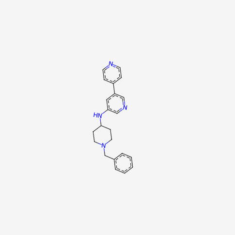 c1ccc(CN2CCC(Nc3cncc(-c4ccncc4)c3)CC2)cc1